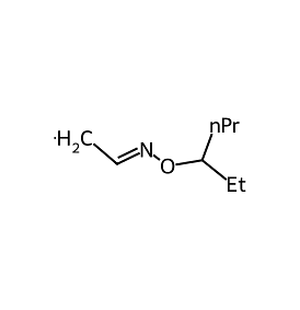 [CH2]C=NOC(CC)CCC